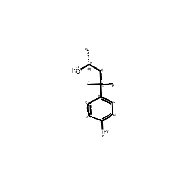 CC(C)c1ccc(C(C)(C)C[C@@H](C)O)cc1